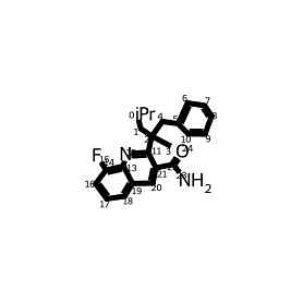 CC(C)CC(C)(Cc1ccccc1)c1nc2c(F)cccc2cc1C(N)=O